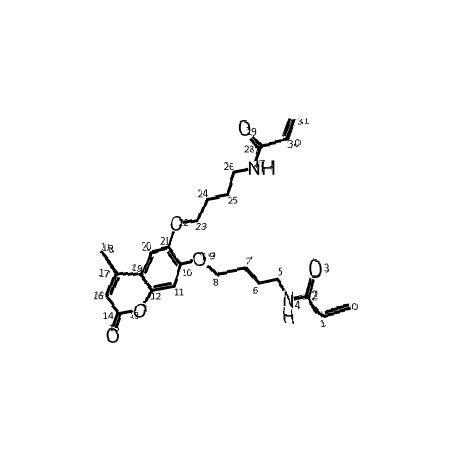 C=CC(=O)NCCCCOc1cc2oc(=O)cc(C)c2cc1OCCCCNC(=O)C=C